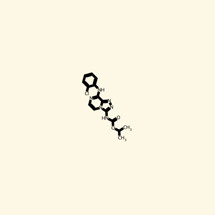 CC(C)OC(=O)Nc1nnc2c(Nc3ccccc3Cl)nccn12